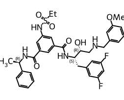 CCS(=O)(=O)Nc1cc(C(=O)N[C@@H](Cc2cc(F)cc(F)c2)[C@H](O)CNCc2cccc(OC)c2)cc(C(=O)N[C@H](C)c2ccccc2)c1